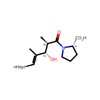 CCCCCCC/C=C(\C)[C@@H](O)[C@@H](C)C(=O)N1CCC[C@H]1C(=O)O